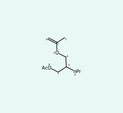 C=C(C)OCC(CCC)COC(C)=O